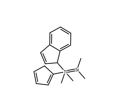 C[Si](C)=[Ti]([CH3])([CH3])([C]1=CC=CC1)[CH]1C=Cc2ccccc21